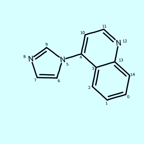 c1ccc2c(-n3ccnc3)ccnc2c1